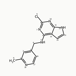 Cc1cc(CNc2nc(Cl)nc3[nH]ccc23)ccn1